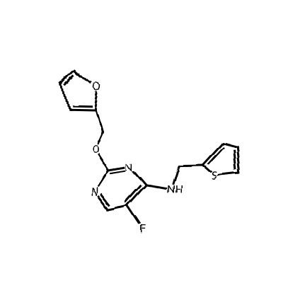 Fc1cnc(OCc2ccco2)nc1NCc1cccs1